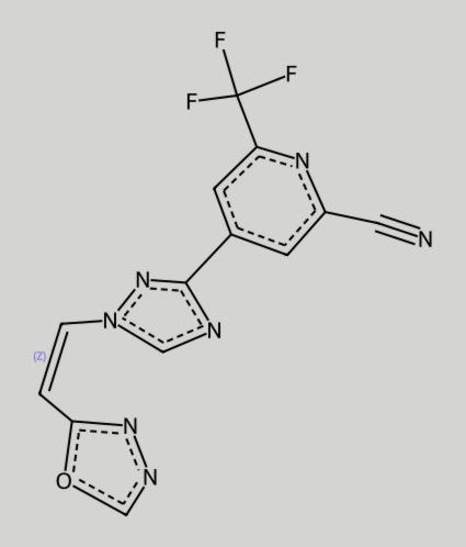 N#Cc1cc(-c2ncn(/C=C\c3nnco3)n2)cc(C(F)(F)F)n1